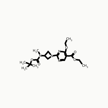 CCOC(=O)c1cnc(N2CC(N(C)C(=O)OC(C)(C)C)C2)nc1OCC